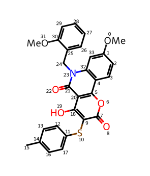 COc1ccc2c3oc(=O)c(Sc4ccc(C)cc4)c(O)c3c(=O)n(Cc3ccccc3OC)c2c1